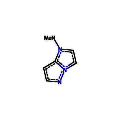 CNn1ccn2nccc12